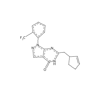 O=c1[nH]c(CC2C=CCC2)nc2c1cnn2-c1ccccc1C(F)(F)F